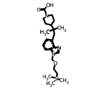 CC(C)(Cc1cccc2c1ncn2COCC[Si](C)(C)C)C1CCN(C(=O)O)CC1